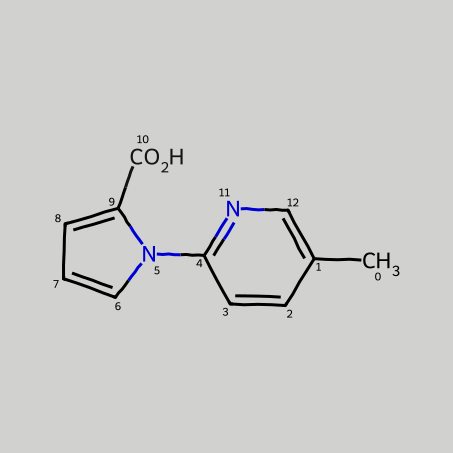 Cc1ccc(-n2cccc2C(=O)O)nc1